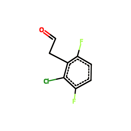 O=CCc1c(F)ccc(F)c1Cl